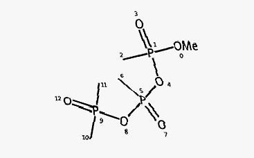 COP(C)(=O)OP(C)(=O)OP(C)(C)=O